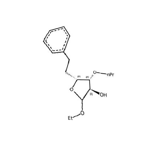 CCCO[C@H]1[C@@H](CCc2ccccc2)OC(OCC)[C@@H]1O